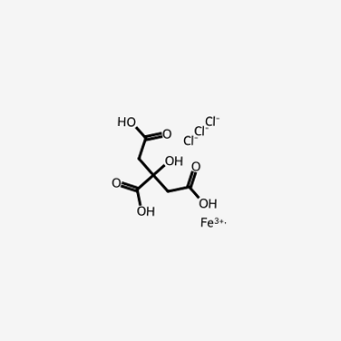 O=C(O)CC(O)(CC(=O)O)C(=O)O.[Cl-].[Cl-].[Cl-].[Fe+3]